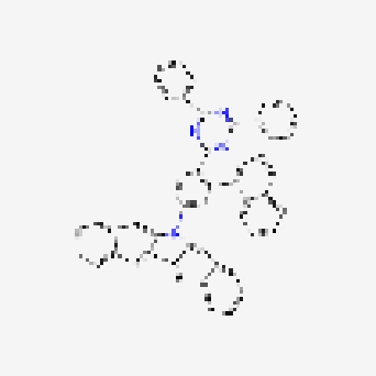 c1ccc(-c2nc(-c3ccccc3)nc(-c3ccc(-n4c5cc6ccccc6cc5c5cc6ccccc6cc54)cc3-c3cccc4ccccc34)n2)cc1